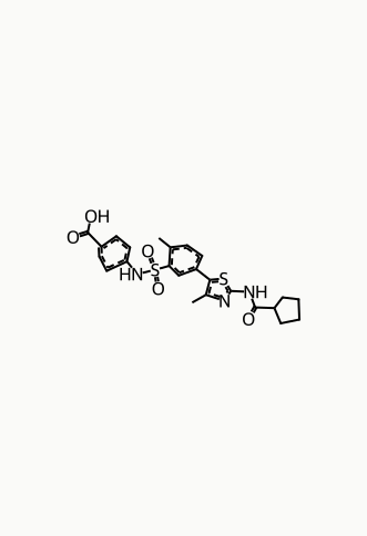 Cc1ccc(-c2sc(NC(=O)C3CCCC3)nc2C)cc1S(=O)(=O)Nc1ccc(C(=O)O)cc1